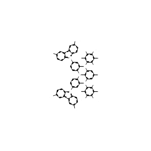 Cc1cc2c3c(c1)B(c1c(C)c(C)c(C)c(C)c1C)c1cc(-n4c5ccc(C)cc5c5cc(C)ccc54)ccc1N3c1ccc(-n3c4ccc(C)cc4c4cc(C)ccc43)cc1B2c1c(C)c(C)c(C)c(C)c1C